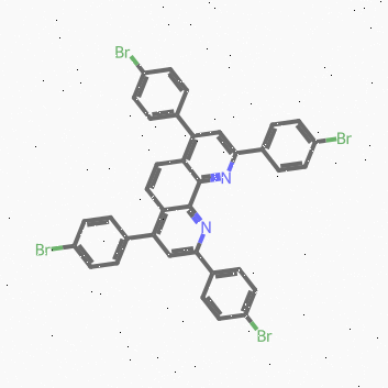 Brc1ccc(-c2cc(-c3ccc(Br)cc3)c3ccc4c(-c5ccc(Br)cc5)cc(-c5ccc(Br)cc5)nc4c3n2)cc1